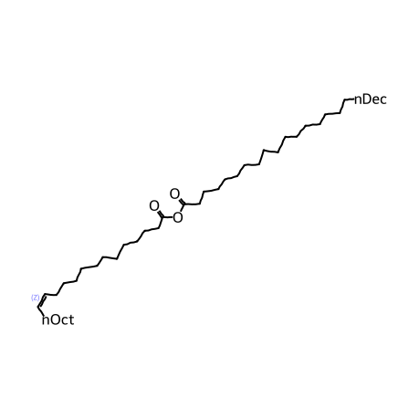 CCCCCCCC/C=C\CCCCCCCCCCCC(=O)OC(=O)CCCCCCCCCCCCCCCCCCCCCCCCCC